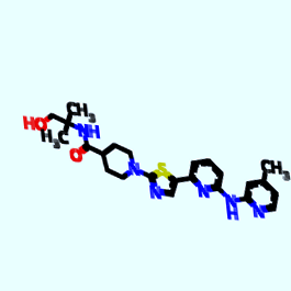 Cc1ccnc(Nc2cccc(-c3cnc(N4CCC(C(=O)NC(C)(C)CO)CC4)s3)n2)c1